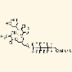 C=C(C)C(=O)OCC(COCC(F)(F)C(F)(F)C(F)(F)C(F)(F)C(F)(F)C(F)(F)COCCCCC)COC(=O)C(=C)CC(CO)CO